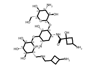 NC1CC(CNC[C@H]2O[C@H](OC3[C@@H](N)C[C@@H](NC(=O)C4(O)CC(N)C4)[C@H](O[C@H]4O[C@H](CO)[C@@H](O)[C@H](N)[C@H]4O)[C@H]3O)[C@H](O)[C@@H](O)[C@@H]2O)C1